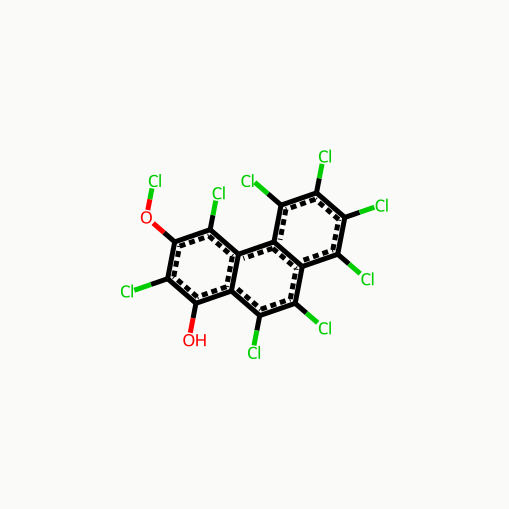 Oc1c(Cl)c(OCl)c(Cl)c2c1c(Cl)c(Cl)c1c(Cl)c(Cl)c(Cl)c(Cl)c12